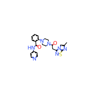 Cc1cn2c(CC(=O)N3CCN(c4ccccc4C(=O)Nc4ccncc4)CC3)nsc2n1